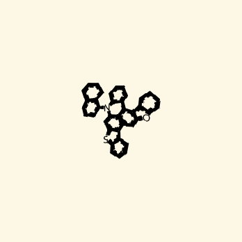 c1ccc(N(c2ccc3c(c2)sc2ccccc23)c2cccc3ccccc23)c(-c2cccc3oc4ccccc4c23)c1